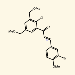 COCc1cc(COC)c(Cl)c(C(=O)/C=C/c2ccc(OC)c(Br)c2)c1